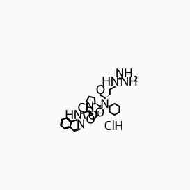 C[C@](C=O)(Nc1nccc2ccccc12)C(=O)N1CCC[C@H]1C(=O)N(C1CCCCC1)[C@H](C=O)CCCNC(=N)N.Cl